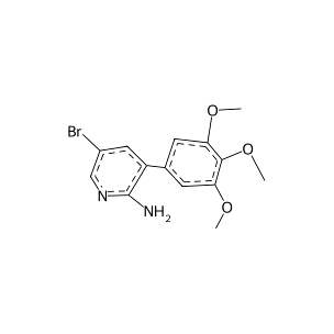 COc1cc(-c2cc(Br)cnc2N)cc(OC)c1OC